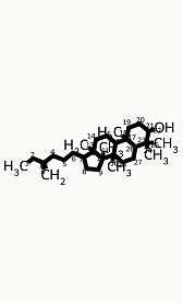 C=C(CC)CCCC1CCC2(C)C1(C)CCC1C3(C)CCC(O)C(C)(C)C3CCC12C